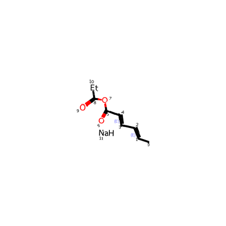 C/C=C/C=C/C(=O)OC(=O)CC.[NaH]